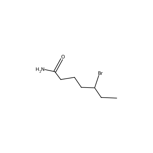 CCC(Br)CCCC(N)=O